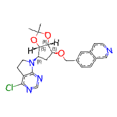 CC1(C)O[C@@H]2[C@H](O1)[C@@H](OCc1ccc3cnccc3c1)C[C@H]2N1CCc2c(Cl)ncnc21